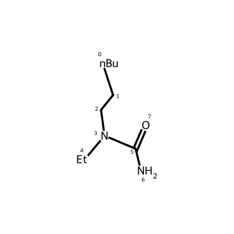 CCCCCCN(CC)C(N)=O